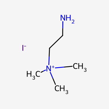 C[N+](C)(C)CCN.[I-]